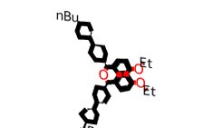 CCCC[C@H]1CC[C@H]([C@H]2CC[C@H](C(OC(c3ccc(OCC)cc3)[C@H]3CC[C@H]([C@H]4CC[C@H](CCCC)CC4)CC3)c3ccc(OCC)cc3)CC2)CC1